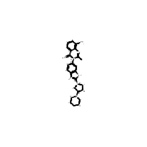 Cc1nc2c(C(F)(F)F)cccc2c(=O)n1-c1ccc2nc(N3CCC(N4CCCCC4)C3)sc2c1